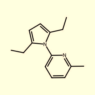 CCc1ccc(CC)n1-c1cccc(C)n1